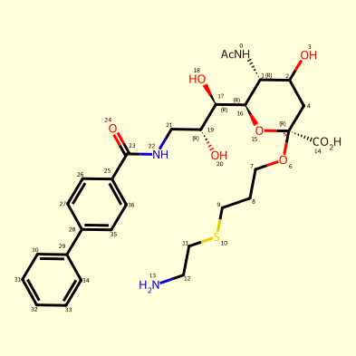 CC(=O)N[C@@H]1C(O)C[C@](OCCCSCCN)(C(=O)O)O[C@H]1[C@H](O)[C@H](O)CNC(=O)c1ccc(-c2ccccc2)cc1